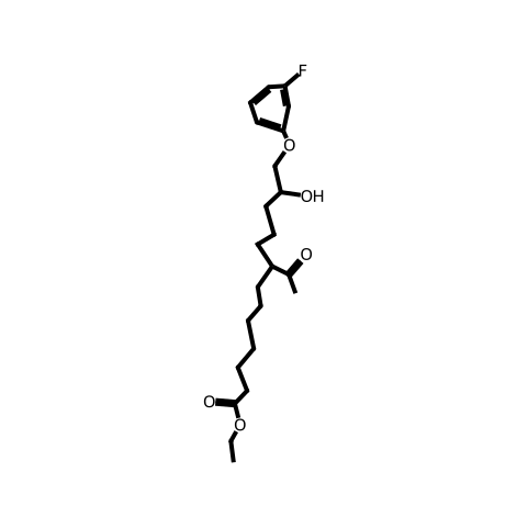 CCOC(=O)CCCCCCC(CCCC(O)COc1cccc(F)c1)C(C)=O